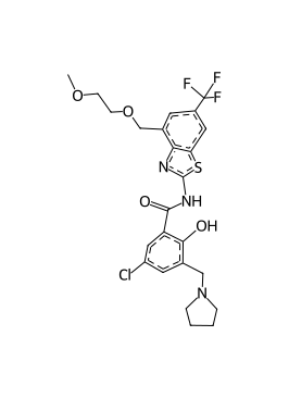 COCCOCc1cc(C(F)(F)F)cc2sc(NC(=O)c3cc(Cl)cc(CN4CCCC4)c3O)nc12